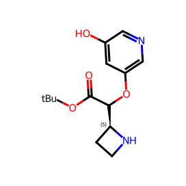 CC(C)(C)OC(=O)C(Oc1cncc(O)c1)[C@@H]1CCN1